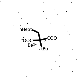 CCCCCCCCC(C(=O)[O-])(C(=O)[O-])C(C)(C)C.[Ba+2]